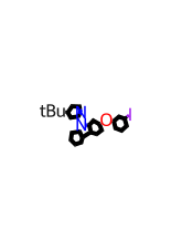 CC(C)(C)c1ccnc(-n2c3ccccc3c3ccc(Oc4cccc(I)c4)cc32)c1